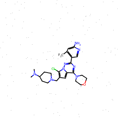 CN(C)C1CCN(Cc2cc3c(N4CCOCC4)nc(-c4cnc(N)cc4C(F)(F)F)nn3c2Cl)CC1